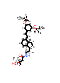 C[C@H](CNC(=O)C[C@](C)(O)C(F)(F)F)[C@H]1CC[C@H]2/C(=C/C=C3C[C@@H](O[Si](C)(C)C(C)(C)C)C[C@H](O[Si](C)(C)C(C)(C)C)C3)CCC[C@]12C